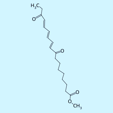 CCC(=O)/C=C/C=C/C=C/C(=O)CCCCCCCC(=O)OC